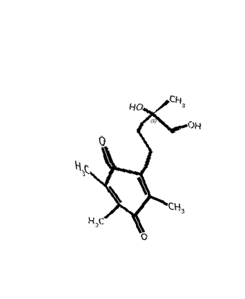 CC1=C(C)C(=O)C(CC[C@](C)(O)CO)=C(C)C1=O